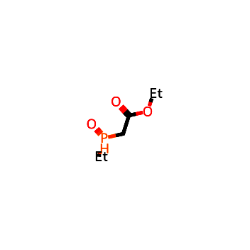 CCOC(=O)C[PH](=O)CC